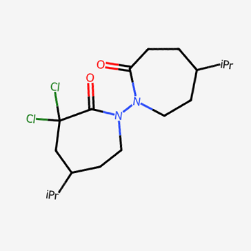 CC(C)C1CCC(=O)N(N2CCC(C(C)C)CC(Cl)(Cl)C2=O)CC1